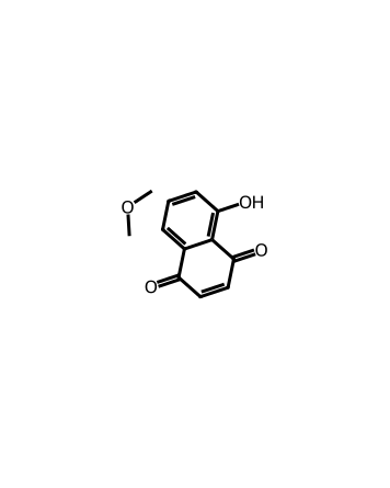 COC.O=C1C=CC(=O)c2c(O)cccc21